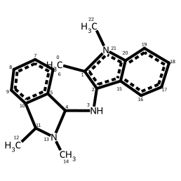 Cc1c(NC2c3ccccc3C(C)N2C)c2ccccc2n1C